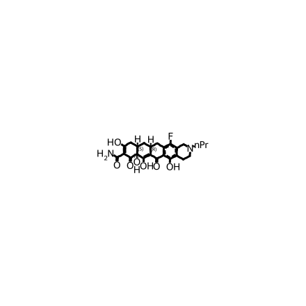 CCCN1CCc2c(O)c3c(c(F)c2C1)C[C@H]1C[C@H]2CC(O)=C(C(N)=O)C(=O)[C@@]2(O)C(O)=C1C3=O